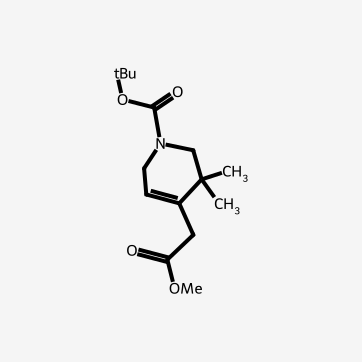 COC(=O)CC1=CCN(C(=O)OC(C)(C)C)CC1(C)C